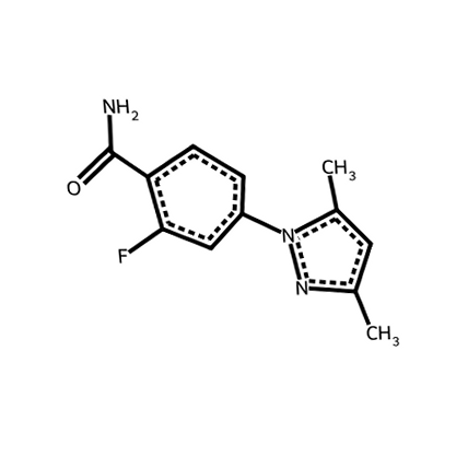 Cc1cc(C)n(-c2ccc(C(N)=O)c(F)c2)n1